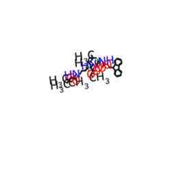 COC(=O)[C@H](CCCCNC(=O)OC(C)(C)C)NC(=O)[C@H](CC(C)C)NC(=O)OCC1c2ccccc2-c2ccccc21